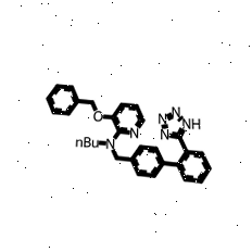 CCCCN(Cc1ccc(-c2ccccc2-c2nnn[nH]2)cc1)c1ncccc1OCc1ccccc1